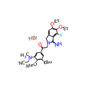 Br.CCOc1cc2c(c(F)c1OCC)C(=N)N(CC(=O)c1cc(N(C)CC#N)c(OC)c(C(C)(C)C)c1)C2